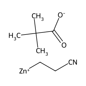 CC(C)(C)C(=O)[O-].N#CC[CH2][Zn+]